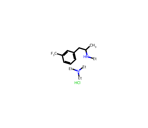 CCN(CC)CC.CCNC(C)Cc1cccc(C(F)(F)F)c1.Cl